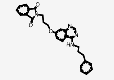 O=C1c2ccccc2C(=O)N1CCCOc1ccc2c(NCCCc3ccccc3)ncnc2c1